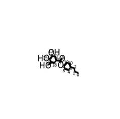 CCCc1ccc(OC(=O)c2cc(O)c(O)c(O)c2)cc1